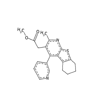 COC(=O)Cc1c(C)nc2sc3c(c2c1-c1cccnc1)CCCC3